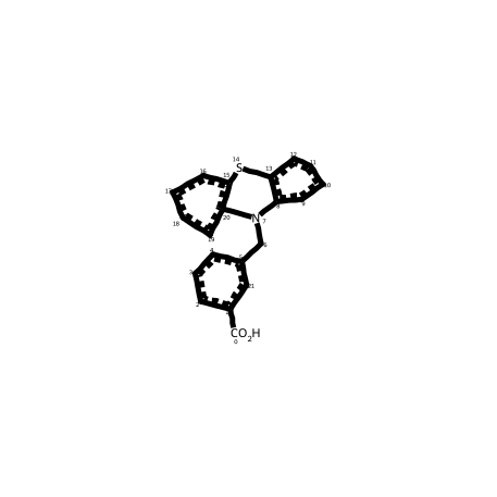 O=C(O)c1cccc(CN2c3ccccc3Sc3ccccc32)c1